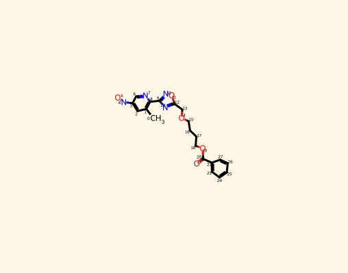 Cc1cc(N=O)cnc1-c1noc(COCCCCOC(=O)c2ccccc2)n1